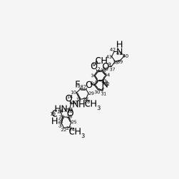 COc1cc2c(OC3=C(F)C=C(NC(=O)C(=O)N[C@@H](C)C4=CCC(C)C=C4)C(C)C3)ccnc2cc1OCC1CCNCC1